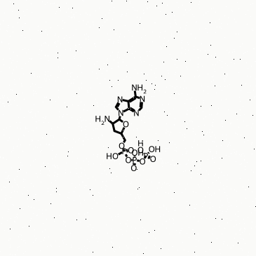 Nc1ncnc2c1ncn2C1OC(COP(=O)(O)OP(=O)(O)OP(=O)(O)O)CC1N